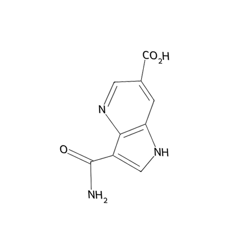 NC(=O)c1c[nH]c2cc(C(=O)O)cnc12